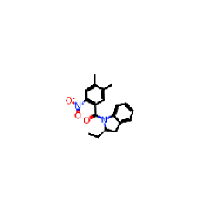 CC[C@@H]1Cc2ccccc2N1C(=O)c1cc(C)c(C)cc1[N+](=O)[O-]